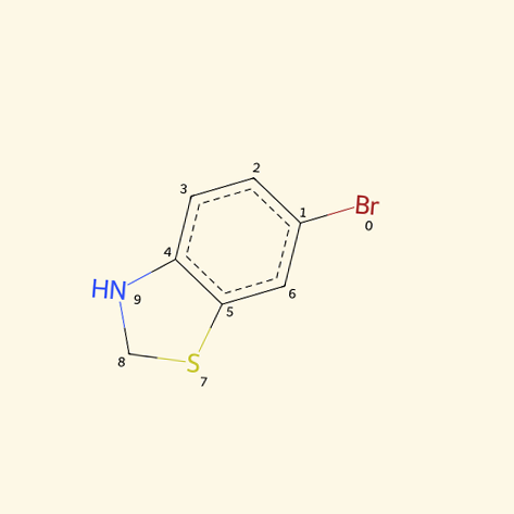 Brc1ccc2c(c1)SCN2